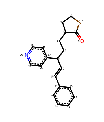 O=C1SCCC1CC[C](C=Cc1ccccc1)c1ccncc1